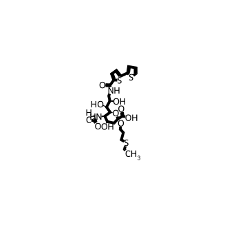 CCSCCCO[C@]1(C(=O)O)C[C@H](O)[C@@H](NC(C)=O)[C@H]([C@H](O)[C@H](O)CNC(=O)c2ccc(-c3cccs3)s2)O1